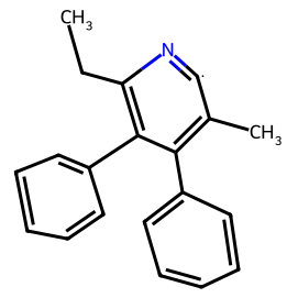 CCc1n[c]c(C)c(-c2ccccc2)c1-c1ccccc1